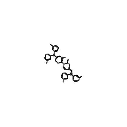 CC1=C(c2ccc(CN(c3cccc(C)c3)c3cccc(C)c3)cc2C)CCC(N(c2cccc(C)c2)c2cccc(C)c2)=C1